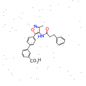 Cc1noc(-c2ccc(-c3cccc(C(=O)O)c3)cc2)c1NC(=O)CCc1ccccc1